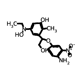 CCN(O)c1cc(O)c(C)c(C(CO)Oc2ccc(N)c([N+](=O)[O-])c2)c1